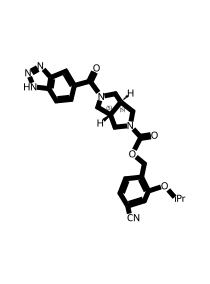 CC(C)Oc1cc(C#N)ccc1COC(=O)N1C[C@@H]2CN(C(=O)c3ccc4[nH]nnc4c3)C[C@H]2C1